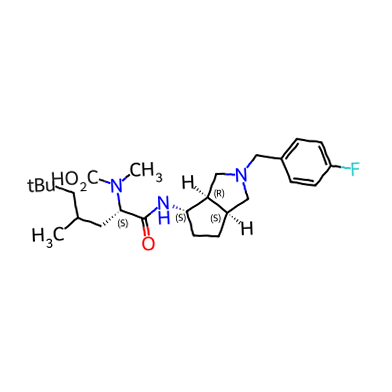 CC(C[C@@H](C(=O)N[C@H]1CC[C@@H]2CN(Cc3ccc(F)cc3)C[C@@H]21)N(C)C(=O)O)CC(C)(C)C